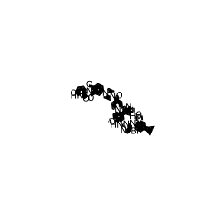 COc1cc(N2CCC(C(=O)N3CCN(c4ccc5c(c4)C(=O)N(C4CCC(=O)NC4=O)C5=O)CC3)CC2)c(-c2cnn(C)c2)cc1Nc1ncc(Br)c(Nc2ccc(C3CC3)cc2P(C)(C)=O)n1